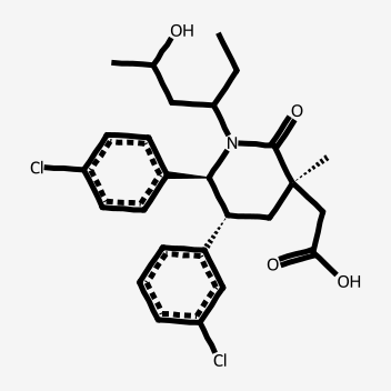 CCC(CC(C)O)N1C(=O)[C@@](C)(CC(=O)O)C[C@H](c2cccc(Cl)c2)[C@H]1c1ccc(Cl)cc1